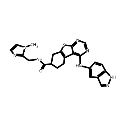 Cn1ccnc1CNC(=O)C1CCc2c(sc3ncnc(Nc4ccc5[nH]ncc5c4)c23)C1